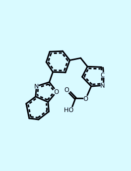 O=C(O)Oc1cc(Cc2cccc(-c3nc4ccccc4o3)c2)ccn1